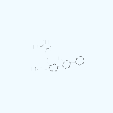 C=C(C)C(=O)OCCc1cc(-c2ccc(-c3ccccc3)cc2F)ccc1CCN